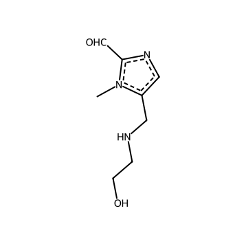 Cn1c(CNCCO)cnc1C=O